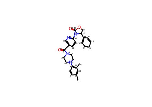 Cc1ccc(N2CCN(C(=O)c3ccc(N4C(=O)OCC4c4ccccc4)nc3)CC2)c(C)c1